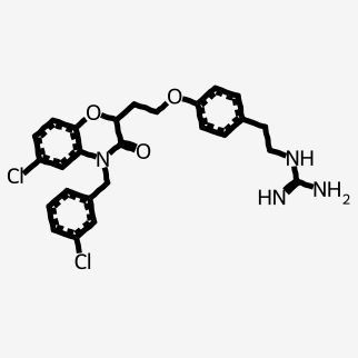 N=C(N)NCCc1ccc(OCCC2Oc3ccc(Cl)cc3N(Cc3cccc(Cl)c3)C2=O)cc1